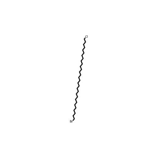 ClCCCCCCCCCCCCCCCCCCCCCCCCCCCCCCBr